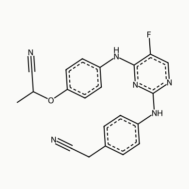 CC(C#N)Oc1ccc(Nc2nc(Nc3ccc(CC#N)cc3)ncc2F)cc1